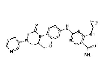 NC(=O)c1cnc(Nc2ccc3c(c2)OCC2CN(c4cccnc4)CC(=O)N32)nc1NC1CC1